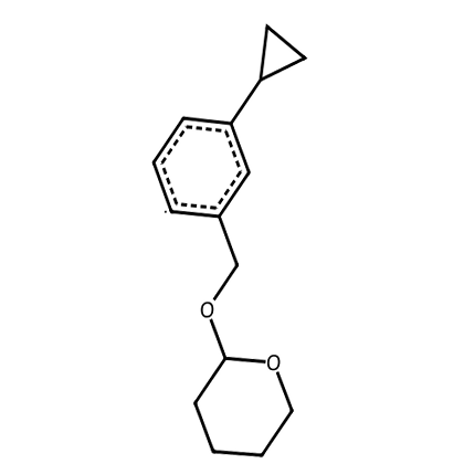 [c]1ccc(C2CC2)cc1COC1CCCCO1